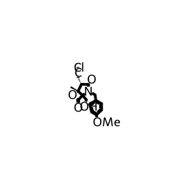 COc1ccc(CN2C(=O)[C@@H](CCCl)[C@@]3(C)OC(=O)C23CO)cc1